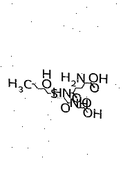 CCCC(O)CSC[C@H](NC(=O)CC[C@H](N)C(=O)O)C(=O)NCC(=O)O